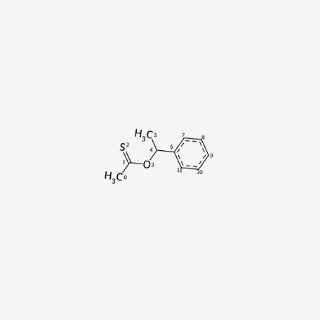 CC(=S)OC(C)c1ccccc1